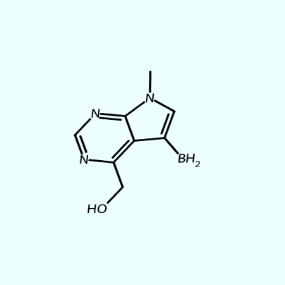 Bc1cn(C)c2ncnc(CO)c12